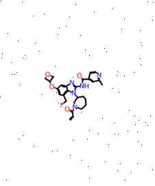 C=CC(=O)N1CCCCC(n2c(NC(=O)c3ccnc(C)c3)nc3cc(OC4COC4)cc(CI)c32)C1